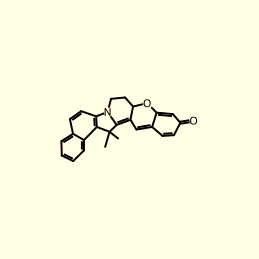 CC1(C)C2=C3C=C4C=CC(=O)C=C4OC3CCN2c2ccc3ccccc3c21